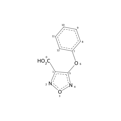 O=C(O)c1nonc1Oc1ccccc1